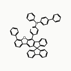 C=C(/C=C\C(=C/C)c1c2c(cc3c1oc1c(-c4ccccc4)cccc13)C1(c3ccccc3-c3ccccc31)c1ccccc1-2)N(c1ccccc1)c1ccc(-c2ccccc2)cc1